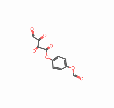 O=COc1ccc(OC(=O)C(=O)C(=O)C=O)cc1